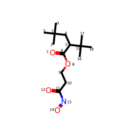 CC(C)(C)CC(C(=O)OCCC(=O)N=O)C(C)(C)C